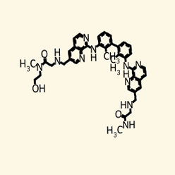 CNC(=O)CNCc1cnc2c(Nc3cccc(-c4cccc(Nc5nccc6cc(CNCC(=O)N(C)CCO)cnc56)c4C)c3C)nccc2c1